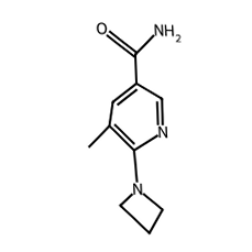 Cc1cc(C(N)=O)cnc1N1CCC1